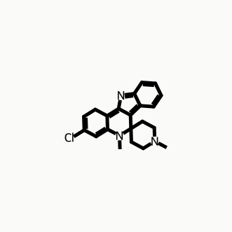 CN1CCC2(CC1)C1=c3ccccc3=NC1=C1CC=C(Cl)C=C1N2C